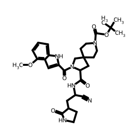 COc1cccc2[nH]c(C(=O)N3CC4(CCN(C(=O)OC(C)(C)C)CC4)CC3C(=O)NC(C#N)CC3CCNC3=O)cc12